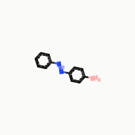 Bc1ccc(/N=N/c2ccccc2)cc1